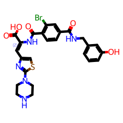 O=C(O)/C(=C/c1csc(N2CCNCC2)n1)NC(=O)c1ccc(C(=O)NCc2cccc(O)c2)cc1Br